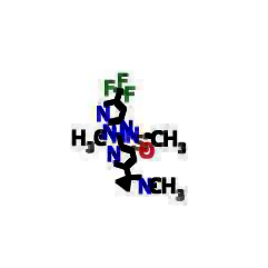 CCS(=N)(=O)c1cc(C2(C=NC)CC2)cnc1-c1nc2cc(C(F)(F)F)cnc2n1C